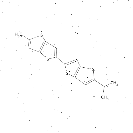 Cc1cc2sc(-c3cc4sc(C(C)C)cc4s3)cc2s1